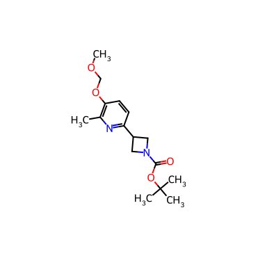 COCOc1ccc(C2CN(C(=O)OC(C)(C)C)C2)nc1C